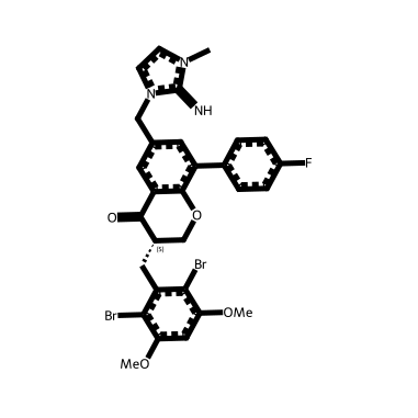 COc1cc(OC)c(Br)c(C[C@H]2COc3c(cc(Cn4ccn(C)c4=N)cc3-c3ccc(F)cc3)C2=O)c1Br